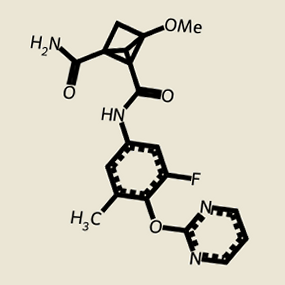 COC12CC(C(N)=O)(C1)C2C(=O)Nc1cc(C)c(Oc2ncccn2)c(F)c1